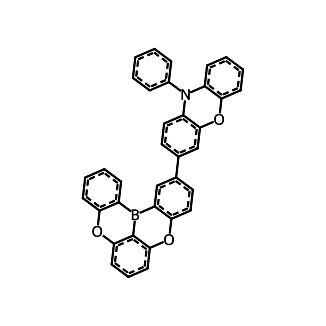 c1ccc(N2c3ccccc3Oc3cc(-c4ccc5c(c4)B4c6ccccc6Oc6cccc(c64)O5)ccc32)cc1